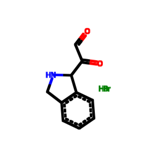 Br.O=CC(=O)C1NCc2ccccc21